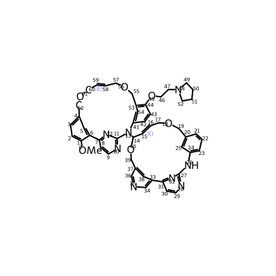 COc1ccc2cc1-c1ccnc(n1)N(C1/C=C/COCc3cccc(c3)Nc3nccc(n3)-c3cncc(c3)CO1)c1ccc(OCCN3CCCC3)c(c1)COC/C=C/COC2